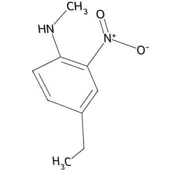 CCc1ccc(NC)c([N+](=O)[O-])c1